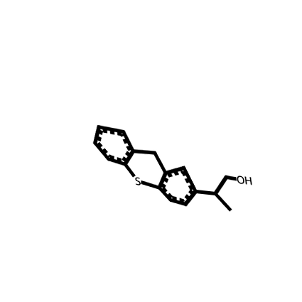 CC(CO)c1ccc2c(c1)Cc1ccccc1S2